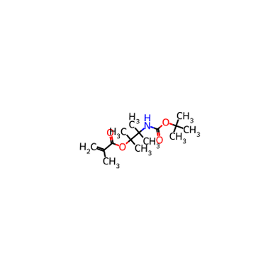 C=C(C)C(=O)OC(C)(C)C(C)(C)NC(=O)OC(C)(C)C